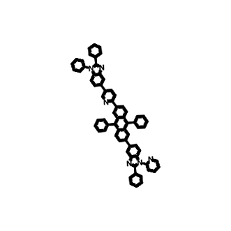 c1ccc(-c2c3ccc(-c4ccc(-c5ccc6c(c5)nc(-c5ccccc5)n6-c5ccccc5)cn4)cc3c(-c3ccccc3)c3ccc(-c4ccc5c(c4)nc(-c4ccccc4)n5-c4ccccn4)cc23)cc1